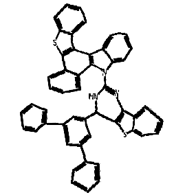 c1ccc(-c2cc(-c3ccccc3)cc(C3NC(n4c5ccccc5c5c6c7ccccc7sc6c6ccccc6c54)=Nc4c3sc3ccccc43)c2)cc1